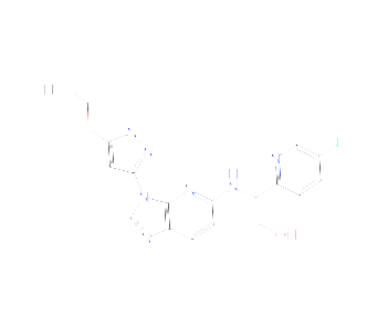 CCOc1cc(-n2cnc3ccc(N[C@@H](CO)c4ccc(F)cn4)nc32)n[nH]1